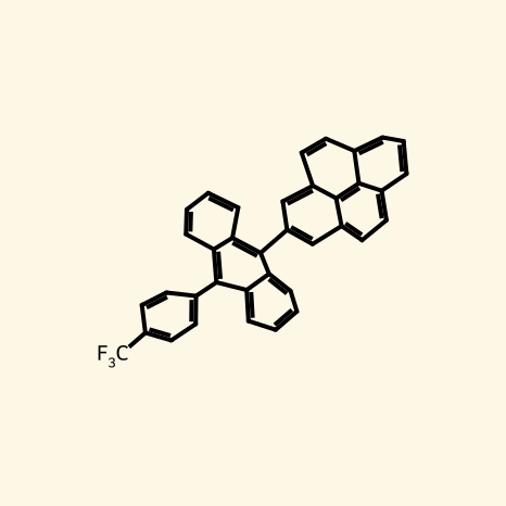 FC(F)(F)c1ccc(-c2c3ccccc3c(-c3cc4ccc5cccc6ccc(c3)c4c56)c3ccccc23)cc1